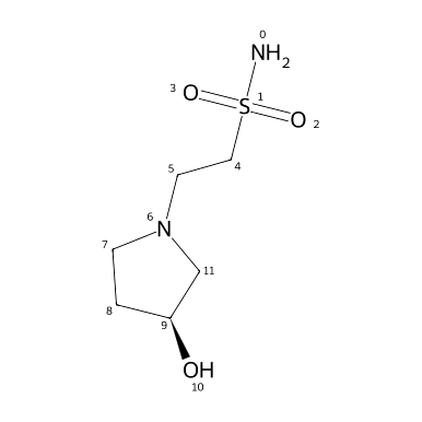 NS(=O)(=O)CCN1CC[C@H](O)C1